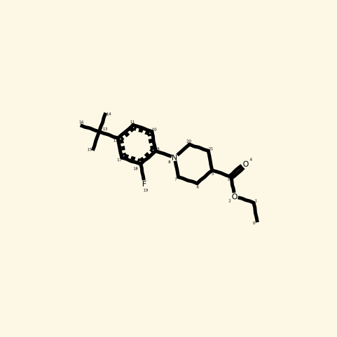 CCOC(=O)C1CCN(c2ccc(C(C)(C)C)cc2F)CC1